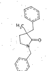 CC1(Cc2ccccc2)CCN(Cc2ccccc2)C1=O